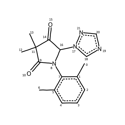 Cc1cccc(C)c1N1C(=O)C(C)(C)C(=O)C1n1cncn1